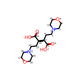 O=C(O)C(CCN1CCOCC1)=C(CCN1CCOCC1)C(=O)O